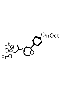 CCCCCCCCOc1ccc(C2CN(C(C)CP(=O)(OCC)OCC)CCO2)cc1